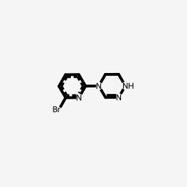 Brc1cccc(N2C=NNCC2)n1